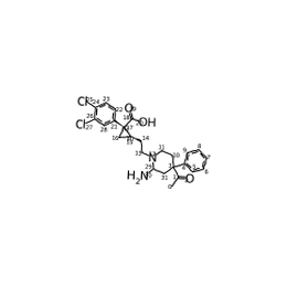 CC(=O)C1(c2ccccc2)CCN(CC[C@H]2C[C@@]2(C(=O)O)c2ccc(Cl)c(Cl)c2)C(N)C1